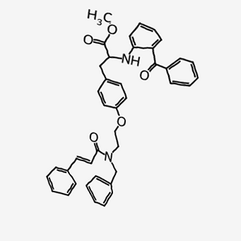 COC(=O)C(Cc1ccc(OCCN(Cc2ccccc2)C(=O)C=Cc2ccccc2)cc1)Nc1ccccc1C(=O)c1ccccc1